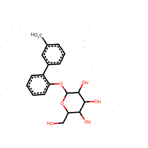 O=C(O)c1cccc(-c2ccccc2OC2OC(CO)C(O)C(O)C2O)c1